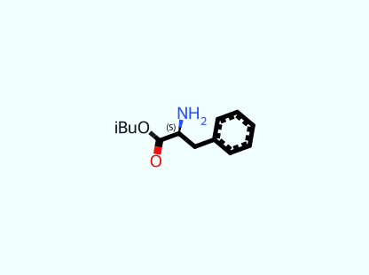 CC(C)COC(=O)[C@@H](N)Cc1ccccc1